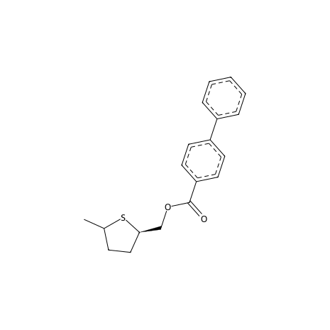 CC1CC[C@H](COC(=O)c2ccc(-c3ccccc3)cc2)S1